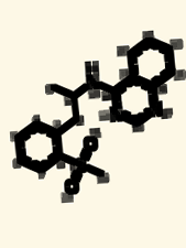 CC(Cc1ccccc1S(C)(=O)=O)Nc1ncnc2ccccc12